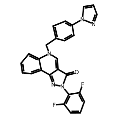 O=c1c2cn(Cc3ccc(-n4cccn4)cc3)c3ccccc3c-2nn1-c1c(F)cccc1F